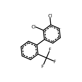 FC(F)(F)c1ccccc1-c1cc[c]c(Cl)c1Cl